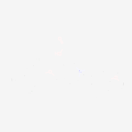 O=C(O)C(F)(F)F.O=C(O)c1cc(Cl)c(OCC2CCN(Cc3cc(Cl)cc(OC(F)(F)F)c3)CC2)cc1F